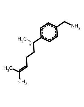 CC(C)=CCC[C@H](C)c1ccc(CN)cc1